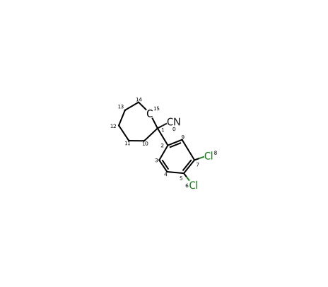 N#CC1(c2ccc(Cl)c(Cl)c2)CCCCCC1